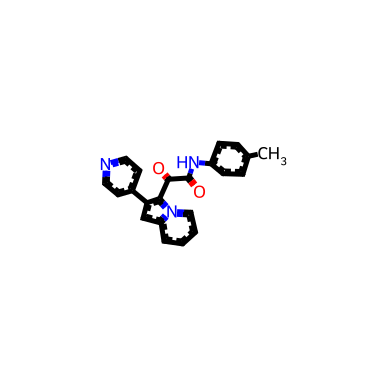 Cc1ccc(NC(=O)C(=O)c2c(-c3ccncc3)cc3ccccn23)cc1